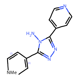 C/C=C(\C=C/NC)c1nnc(-c2ccncc2)n1N